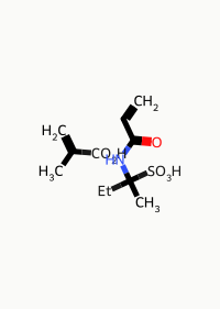 C=C(C)C(=O)O.C=CC(=O)NC(C)(CC)S(=O)(=O)O